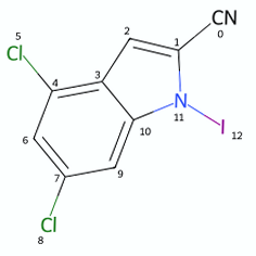 N#Cc1cc2c(Cl)cc(Cl)cc2n1I